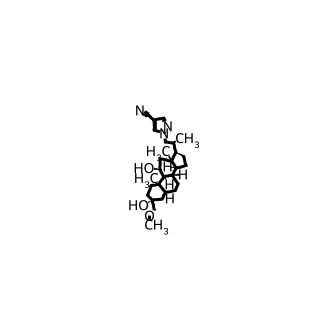 COC[C@@]1(O)CC[C@@]2(C)[C@H](CC[C@@H]3[C@@H]2[C@@H](O)C[C@]2(C)[C@@H]([C@H](C)Cn4cc(C#N)cn4)CC[C@@H]32)C1